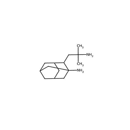 CC(C)(N)CC1C2CC3CC(C2)CC1(N)C3